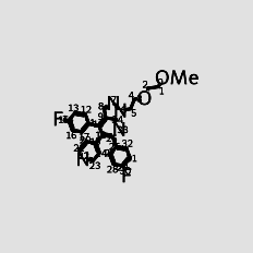 COCCOCCn1ncc2c(-c3ccc(F)cc3)c(-c3ccncc3)c(-c3ccc(F)cc3)nc21